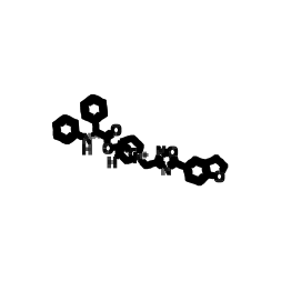 O=C(O[C@H]1C[N+]2(Cc3noc(-c4ccc5c(c4)CCO5)n3)CCC1CC2)[C@H](Nc1ccccc1)c1ccccc1